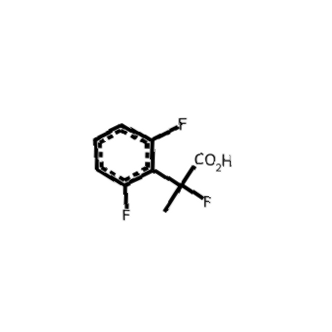 CC(F)(C(=O)O)c1c(F)cccc1F